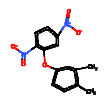 Cc1ccc(Oc2cc([N+](=O)[O-])ccc2[N+](=O)[O-])cc1C